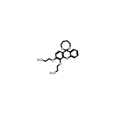 CC(=O)OCCOc1ccc2c(c1OCCOC(C)=O)Sc1ccccc1C21OCCCCO1